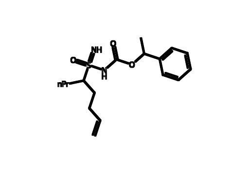 C=CCCC(CCC)S(=N)(=O)NC(=O)OC(C)c1ccccc1